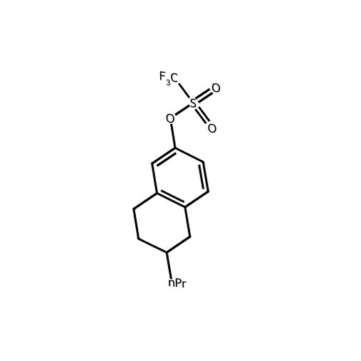 CCCC1CCc2cc(OS(=O)(=O)C(F)(F)F)ccc2C1